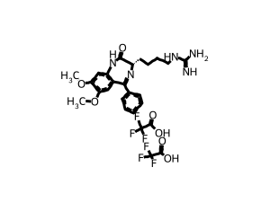 COc1cc2c(cc1OC)C(c1ccccc1)=N[C@@H](CCCCNC(=N)N)C(=O)N2.O=C(O)C(F)(F)F.O=C(O)C(F)(F)F